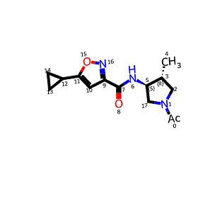 CC(=O)N1C[C@@H](C)[C@H](NC(=O)c2cc(C3CC3)on2)C1